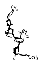 CNCc1ccc(-c2cc(-c3nc(-c4ccc(=O)n(CCOC)c4)cnc3N)on2)cc1